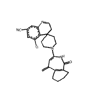 C=C1C=C(N2CCC3(CC=Nc4cc(C#N)cc(Cl)c43)CC2)NC(=O)C2=C1CCCC2